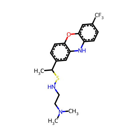 CC(SNCCN(C)C)c1ccc2c(c1)Nc1ccc(C(F)(F)F)cc1O2